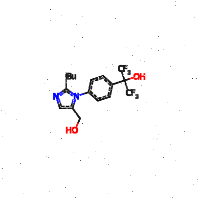 CCC(C)c1ncc(CO)n1-c1ccc(C(O)(C(F)(F)F)C(F)(F)F)cc1